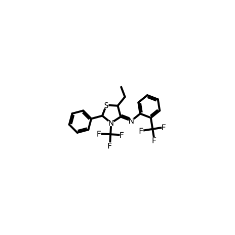 CCC1SC(c2ccccc2)N(C(F)(F)F)C1=Nc1ccccc1C(F)(F)F